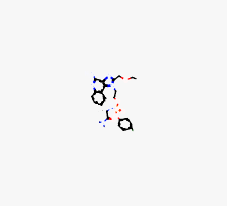 CCOCc1nc2c(N)nc3ccccc3c2n1C[C@@H](C)O[P@@](=O)(N[C@@H](C)C(=O)N(C)C)Oc1ccc(Cl)cc1